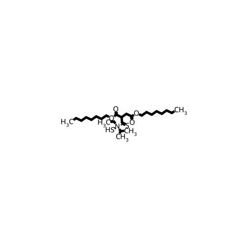 CCCCCCCCOC(=O)CC(C(=O)OCCCCCCCC)C(=S)[N+](S)(CC)C(C)C